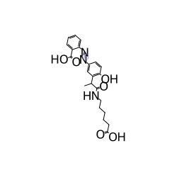 CC(C(=O)NCCCCCC(=O)O)c1cc(/N=N/c2ccccc2C(=O)O)ccc1O